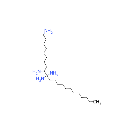 CCCCCCCCCCCCC(N)(N)C(N)CCCCCCCCN